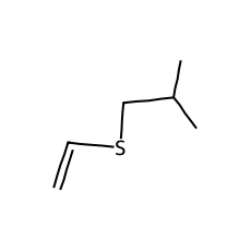 C=CSCC(C)C